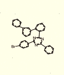 Brc1ccc(-c2nc(-c3ccccc3)nc(-c3ccccc3-c3cccc(-c4ccccc4)c3)n2)cc1